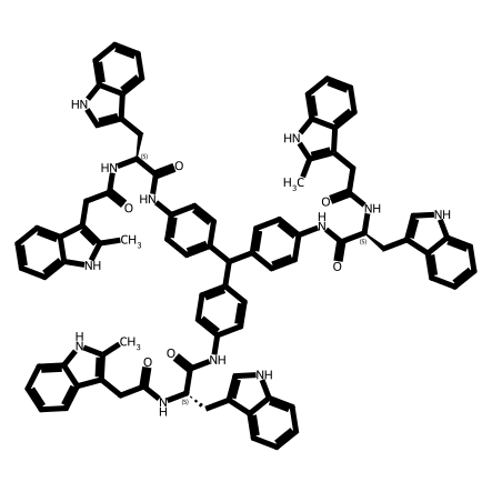 Cc1[nH]c2ccccc2c1CC(=O)N[C@@H](Cc1c[nH]c2ccccc12)C(=O)Nc1ccc(C(c2ccc(NC(=O)[C@H](Cc3c[nH]c4ccccc34)NC(=O)Cc3c(C)[nH]c4ccccc34)cc2)c2ccc(NC(=O)[C@H](Cc3c[nH]c4ccccc34)NC(=O)Cc3c(C)[nH]c4ccccc34)cc2)cc1